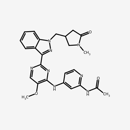 COc1cnc(-c2nn(CC3CC(=O)N(C)C3)c3ccccc23)nc1Nc1ccnc(NC(C)=O)c1